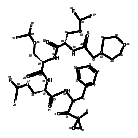 C[C@@]1(C(=O)[C@H](Cc2ccccc2)NC(=O)[C@H](COC(F)F)NC(=O)[C@H](COC(F)F)NC(=O)[C@H](COC(F)F)NC(=O)CN2CCOCC2)CO1